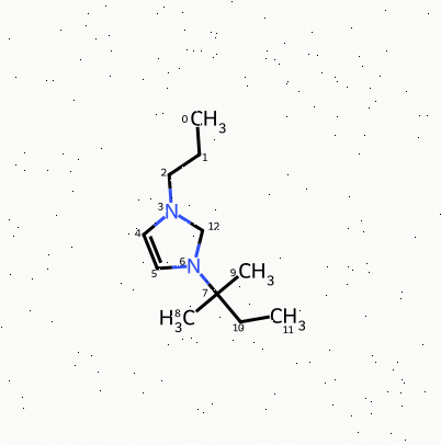 CCCN1C=CN(C(C)(C)CC)C1